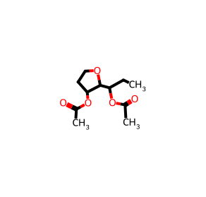 CCC(OC(C)=O)C1OCCC1OC(C)=O